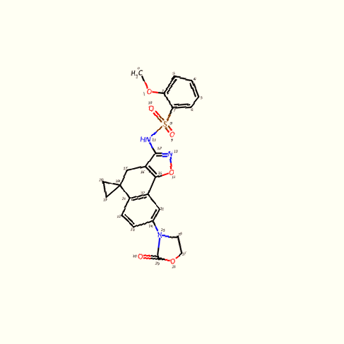 COc1ccccc1S(=O)(=O)Nc1noc2c1CC1(CC1)c1ccc(N3CCOC3=O)cc1-2